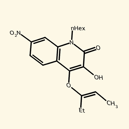 CC=C(CC)Oc1c(O)c(=O)n(CCCCCC)c2cc([N+](=O)[O-])ccc12